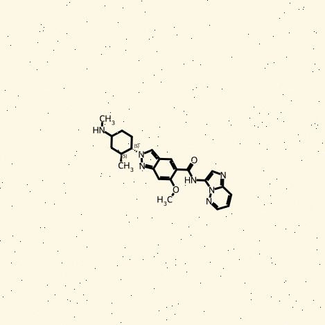 CNC1CC[C@H](n2cc3cc(C(=O)Nc4cnc5cccnn45)c(OC)cc3n2)[C@@H](C)C1